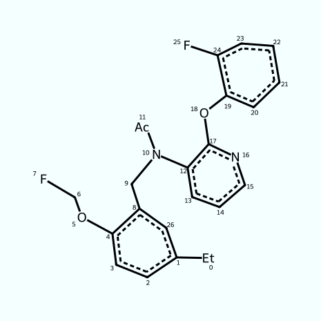 CCc1ccc(OCF)c(CN(C(C)=O)c2cccnc2Oc2ccccc2F)c1